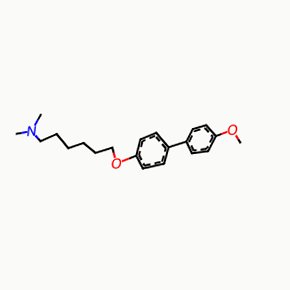 COc1ccc(-c2ccc(OCCCCCCN(C)C)cc2)cc1